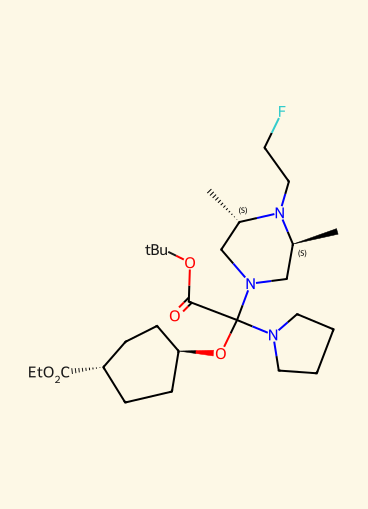 CCOC(=O)[C@H]1CC[C@H](OC(C(=O)OC(C)(C)C)(N2CCCC2)N2C[C@H](C)N(CCF)[C@@H](C)C2)CC1